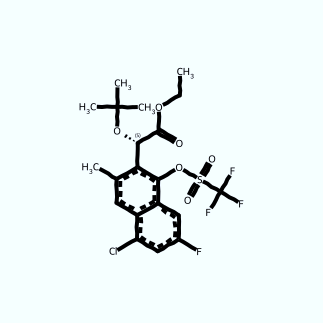 CCOC(=O)[C@@H](OC(C)(C)C)c1c(C)cc2c(Cl)cc(F)cc2c1OS(=O)(=O)C(F)(F)F